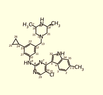 Cc1ccc2c(-c3nc(Nc4cc(CN5CC(C)N[C@@H](C)C5)cc(C5CC5)c4)ncc3Cl)c[nH]c2c1